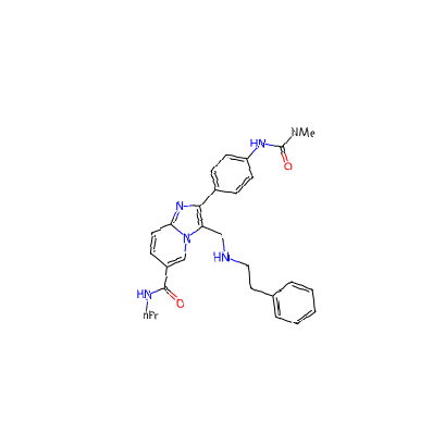 CCCNC(=O)c1ccc2nc(-c3ccc(NC(=O)NC)cc3)c(CNCCc3ccccc3)n2c1